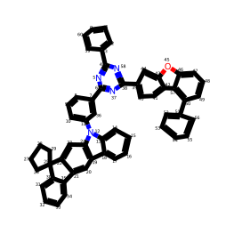 c1ccc(-c2nc(-c3cccc(-n4c5ccccc5c5cc6c(cc54)C4(CCCC4)c4ccccc4-6)c3)nc(-c3ccc4c(c3)oc3cccc(-c5ccccc5)c34)n2)cc1